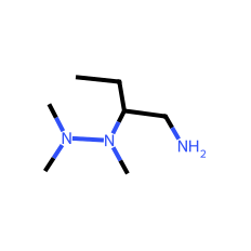 CCC(CN)N(C)N(C)C